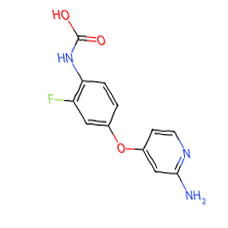 Nc1cc(Oc2ccc(NC(=O)O)c(F)c2)ccn1